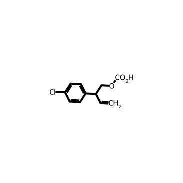 C=CC(COC(=O)O)c1ccc(Cl)cc1